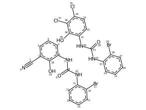 N#Cc1cccc(NC(=O)Nc2ccccc2Br)c1O.O=C(Nc1ccccc1Br)Nc1ccc(Cl)c(Cl)c1O